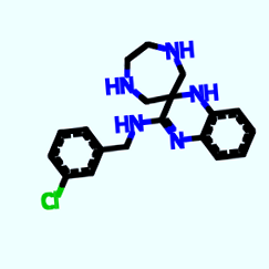 Clc1cccc(CNC2=Nc3ccccc3NC23CNCCNC3)c1